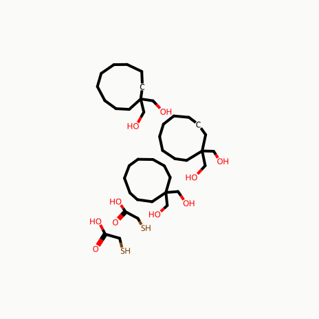 O=C(O)CS.O=C(O)CS.OCC1(CO)CCCCCCCCC1.OCC1(CO)CCCCCCCCC1.OCC1(CO)CCCCCCCCC1